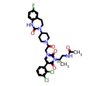 CC(=O)NC[C@H](C)n1c(=O)c(-c2cccc(Cl)c2Cl)cn(CC(=O)N2CCC(N3CCc4cc(F)ccc4NC3=O)CC2)c1=O